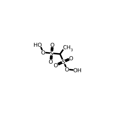 CC(S(=O)(=O)OO)S(=O)(=O)OO